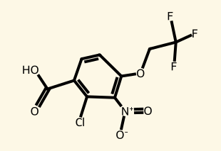 O=C(O)c1ccc(OCC(F)(F)F)c([N+](=O)[O-])c1Cl